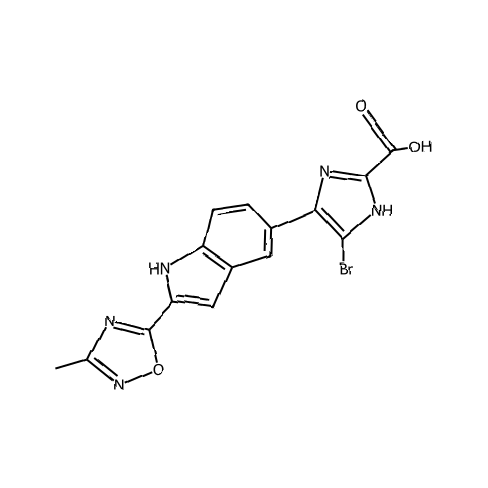 Cc1noc(-c2cc3cc(-c4nc(C(=O)O)[nH]c4Br)ccc3[nH]2)n1